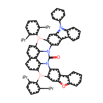 CC(C)c1cccc(C(C)C)c1B1c2cc3oc4ccccc4c3cc2N2C(=O)N3c4cc5c6ccccc6n(-c6ccccc6)c5cc4B(c4c(C(C)C)cccc4C(C)C)c4ccc5ccc1c2c5c43